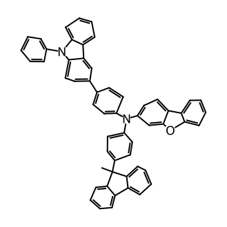 CC1(c2ccc(N(c3ccc(-c4ccc5c(c4)c4ccccc4n5-c4ccccc4)cc3)c3ccc4c(c3)oc3ccccc34)cc2)c2ccccc2-c2ccccc21